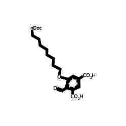 CCCCCCCCCCCCCCCCCCOc1cc(C(=O)O)cc(C(=O)O)c1I=O